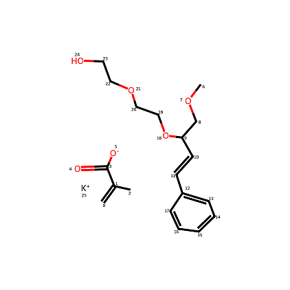 C=C(C)C(=O)[O-].COCC(C=Cc1ccccc1)OCCOCCO.[K+]